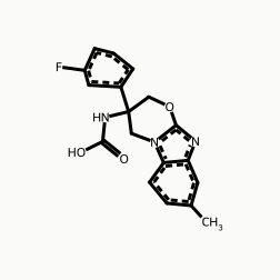 Cc1ccc2c(c1)nc1n2CC(NC(=O)O)(c2cccc(F)c2)CO1